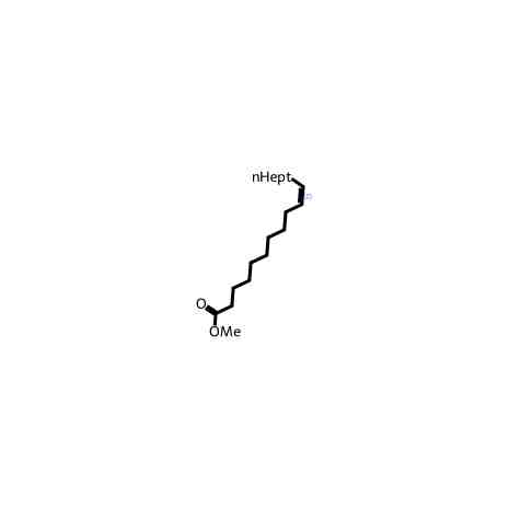 CCCCCCC/C=C\CCCCCCCCC(=O)OC